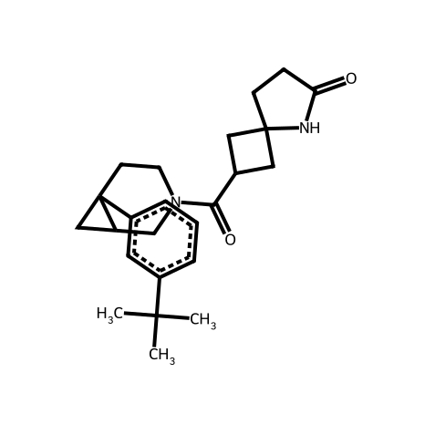 CC(C)(C)c1cccc(C23CCN(C(=O)C4CC5(CCC(=O)N5)C4)CC2C3)c1